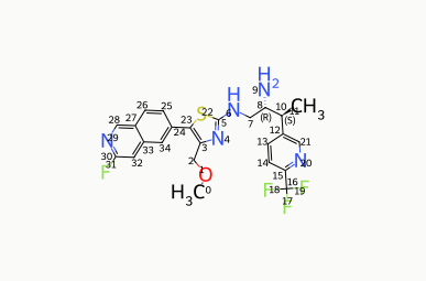 COCc1nc(NC[C@H](N)[C@@H](C)c2ccc(C(F)(F)F)nc2)sc1-c1ccc2cnc(F)cc2c1